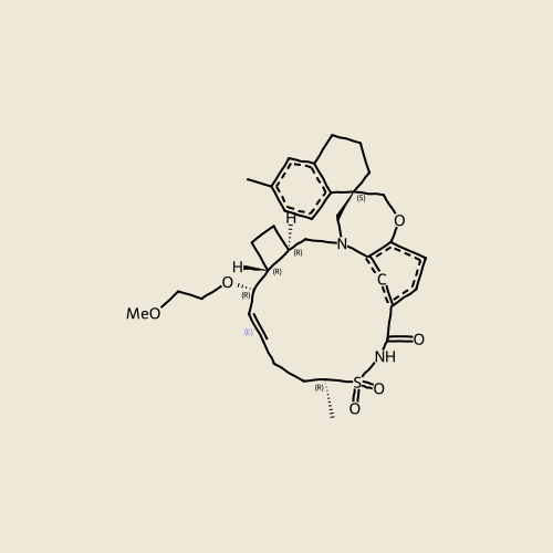 COCCO[C@H]1/C=C/CC[C@@H](C)S(=O)(=O)NC(=O)c2ccc3c(c2)N(C[C@@H]2CC[C@H]21)C[C@@]1(CCCc2cc(C)ccc21)CO3